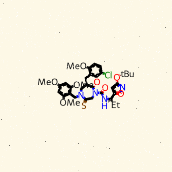 CC[C@@H](NC(=O)N1CC(=S)N(Cc2c(OC)cc(OC)cc2OC)C[C@@H](Cc2cc(Cl)ccc2OC)C1=O)c1cc(OC(C)(C)C)no1